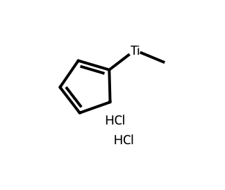 Cl.Cl.[CH3][Ti][C]1=CC=CC1